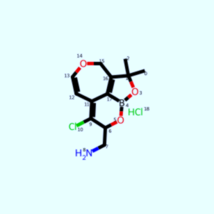 CC1(C)OB2OC(CN)C(Cl)=C3C=COCC1=C23.Cl